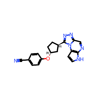 N#Cc1ccc(O[C@@H]2CC[C@@H](c3nnc4cnc5[nH]ccc5n34)C2)cc1